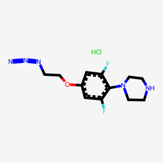 Cl.[N-]=[N+]=NCCOc1cc(F)c(N2CCNCC2)c(F)c1